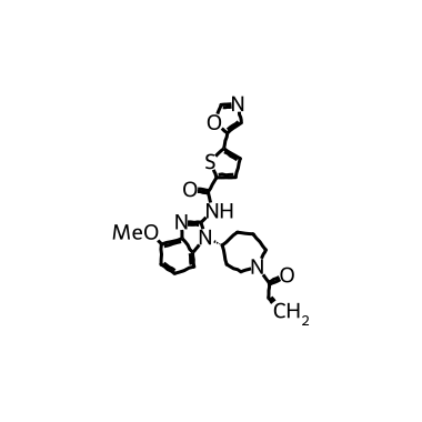 C=CC(=O)N1CCC[C@@H](n2c(NC(=O)c3ccc(-c4cnco4)s3)nc3c(OC)cccc32)CC1